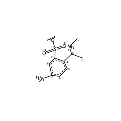 CNC(C)c1ccc(N)cc1S(=O)(=O)O